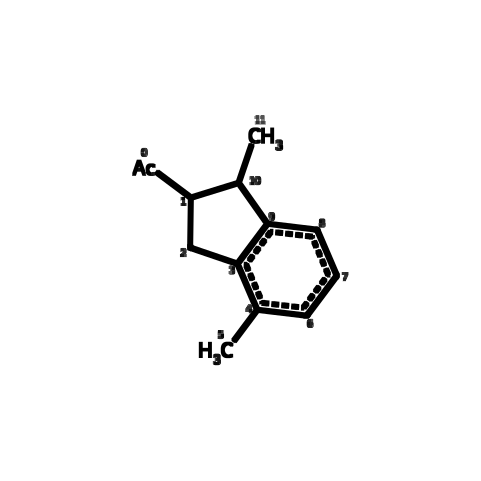 CC(=O)C1Cc2c(C)cccc2C1C